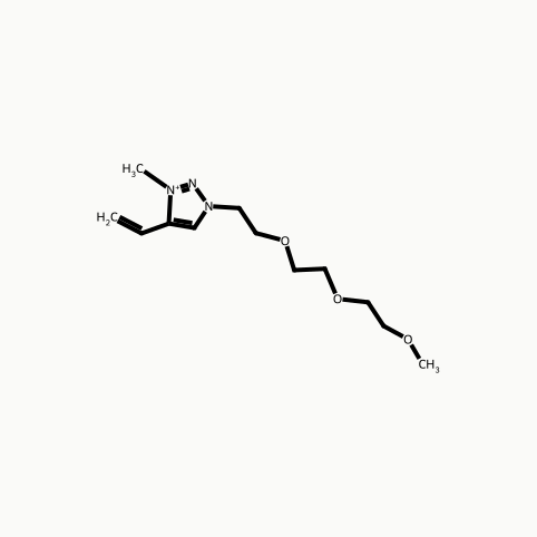 C=Cc1cn(CCOCCOCCOC)n[n+]1C